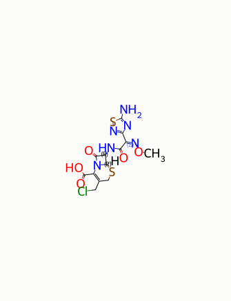 CO/N=C(\C(=O)N[C@@H]1C(=O)N2C(C(=O)O)=C(CCl)CS[C@H]12)c1nsc(N)n1